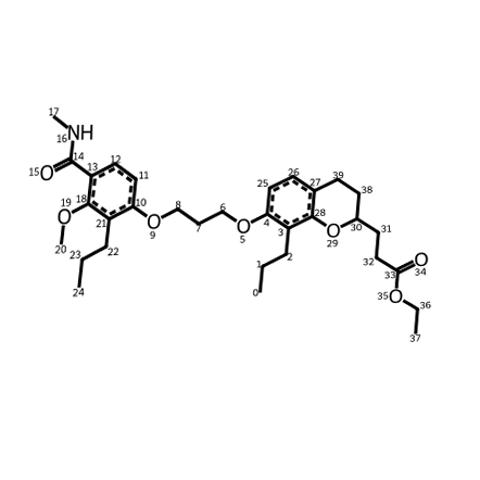 CCCc1c(OCCCOc2ccc(C(=O)NC)c(OC)c2CCC)ccc2c1OC(CCC(=O)OCC)CC2